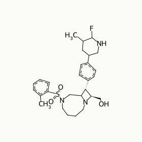 Cc1ccccc1S(=O)(=O)N1CCCCN2C(C1)[C@H](c1ccc(C3CNC(F)C(C)C3)cc1)[C@H]2CO